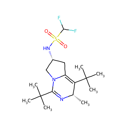 C[C@@H]1N=C(C(C)(C)C)N2C[C@H](NS(=O)(=O)C(F)F)CC2=C1C(C)(C)C